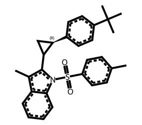 Cc1ccc(S(=O)(=O)n2c(C3C[C@H]3c3ccc(C(C)(C)C)cc3)c(C)c3ccccc32)cc1